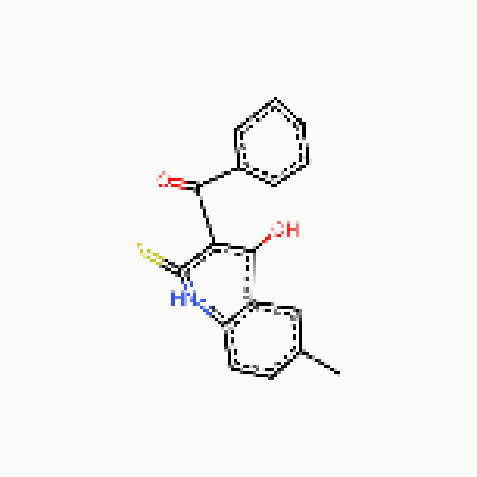 Cc1ccc2[nH]c(=S)c(C(=O)c3ccccc3)c(O)c2c1